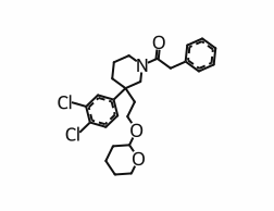 O=C(Cc1ccccc1)N1CCCC(CCOC2CCCCO2)(c2ccc(Cl)c(Cl)c2)C1